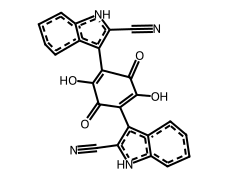 N#Cc1[nH]c2ccccc2c1C1=C(O)C(=O)C(c2c(C#N)[nH]c3ccccc23)=C(O)C1=O